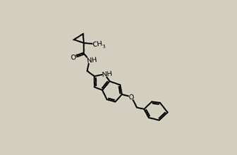 CC1(C(=O)NCc2cc3ccc(OCc4ccccc4)cc3[nH]2)CC1